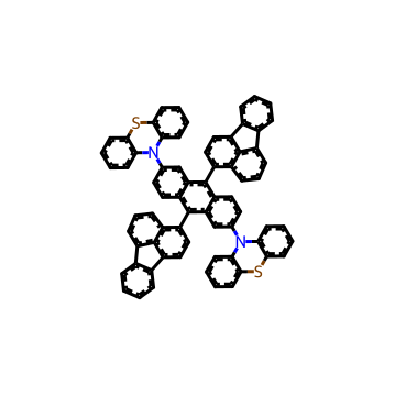 c1ccc2c(c1)Sc1ccccc1N2c1ccc2c(-c3ccc4c5c(cccc35)-c3ccccc3-4)c3cc(N4c5ccccc5Sc5ccccc54)ccc3c(-c3ccc4c5c(cccc35)-c3ccccc3-4)c2c1